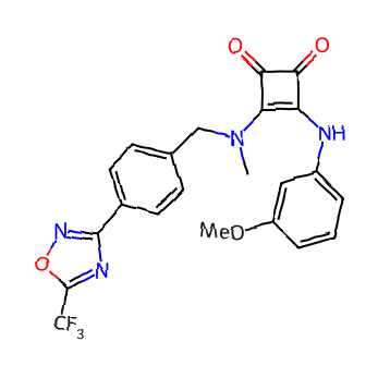 COc1cccc(Nc2c(N(C)Cc3ccc(-c4noc(C(F)(F)F)n4)cc3)c(=O)c2=O)c1